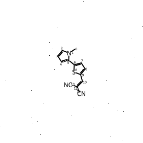 Cn1cccc1-c1ccc(C=C(C#N)C#N)s1